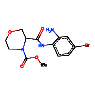 CC(C)(C)OC(=O)N1CCOCC1C(=O)Nc1ccc(Br)cc1N